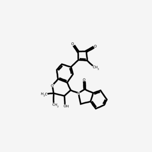 Cc1c(-c2ccc3c(c2)C(N2Cc4ccccc4C2=O)C(O)C(C)(C)O3)c(=O)c1=O